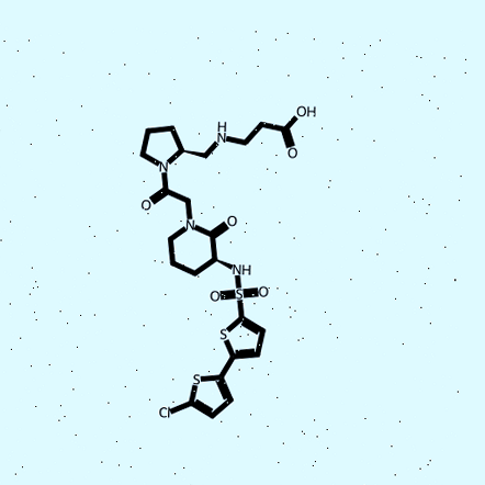 O=C(O)CCNC[C@@H]1CCCN1C(=O)CN1CCC[C@H](NS(=O)(=O)c2ccc(-c3ccc(Cl)s3)s2)C1=O